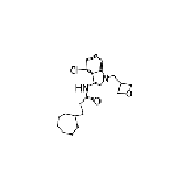 O=C(CCC1CCCCCC1)Nc1cn(CC2COC2)c2cccc(Cl)c12